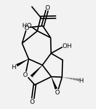 C=C(C)C1(O)C2OC(=O)C1C1(O)C[C@H]3O[C@]34C(=O)O[C@H]2[C@]14C